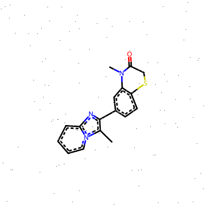 Cc1c(-c2ccc3c(c2)N(C)C(=O)CS3)nc2ccccn12